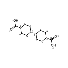 O=C(O)C1CCC([C@H]2CC[C@H](C(=O)O)CC2)CC1